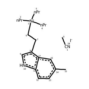 CC#N.CCC[N+](CCC)(CCC)CCc1c[nH]c2ccc(C)cc12.[I-]